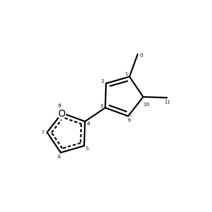 CC1=CC(c2ccco2)=[C]C1C